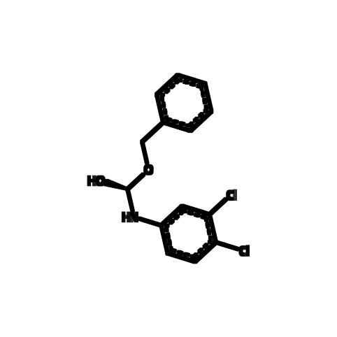 O[C@H](Nc1ccc(Cl)c(Cl)c1)OCc1ccccc1